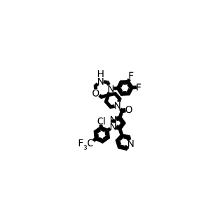 O=C(c1cc(-c2cccnc2)n(-c2ccc(C(F)(F)F)cc2Cl)n1)N1CCC2(CC1)COCNCN2c1ccc(F)c(F)c1